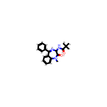 CN1C(=O)C(NC(=O)C(C)(C)C)N=C(c2ccccc2)c2ccccc21